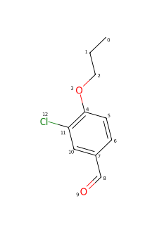 CCCOc1ccc(C=O)cc1Cl